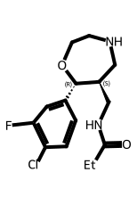 CCC(=O)NC[C@@H]1CNCCO[C@H]1c1ccc(Cl)c(F)c1